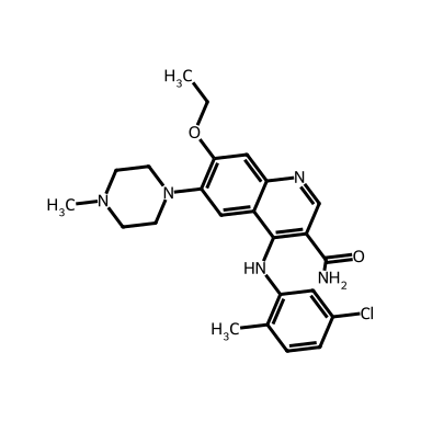 CCOc1cc2ncc(C(N)=O)c(Nc3cc(Cl)ccc3C)c2cc1N1CCN(C)CC1